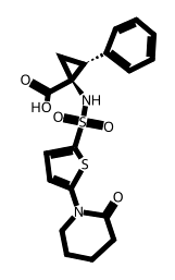 O=C1CCCCN1c1ccc(S(=O)(=O)N[C@@]2(C(=O)O)C[C@@H]2c2ccccc2)s1